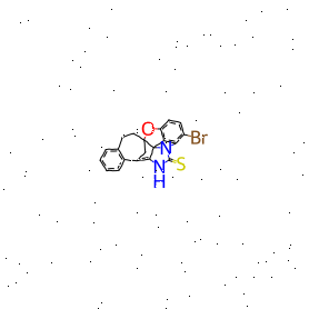 S=C1NC2=C3CC4(CCc5ccccc53)Oc3ccc(Br)c5c3C24N15